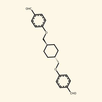 O=Cc1ccc(OC[C@H]2CC[C@H](COc3ccc(C=O)cc3)CC2)cc1